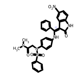 CN(C)C(=O)CN(c1ccc(N/C(=C2\C(=O)Nc3ccc([N+](=O)[O-])cc32)c2ccccc2)cc1)S(=O)(=O)c1ccccc1